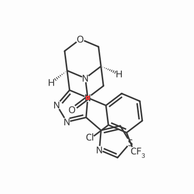 O=C(c1cccc(C(F)(F)F)c1Cl)N1[C@H]2COC[C@@H]1c1nnc(-c3cscn3)n1C2